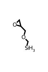 [SiH3]COCC1CO1